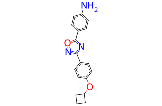 Nc1ccc(-c2nc(-c3ccc(OC4CCC4)cc3)no2)cc1